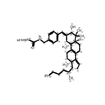 CCCCCCCC(=O)NCc1ccc(/C=C2\C[C@]3(C)C4=C(CC[C@H]3C(C)(C)[C@H]2O)C2=CC[C@H]([C@H](C)CCCC(C)C)[C@@]2(C)CC4)cc1